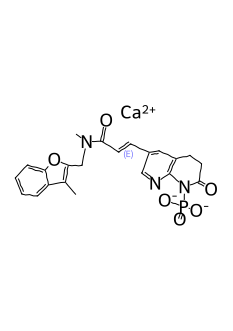 Cc1c(CN(C)C(=O)/C=C/c2cnc3c(c2)CCC(=O)N3P(=O)([O-])[O-])oc2ccccc12.[Ca+2]